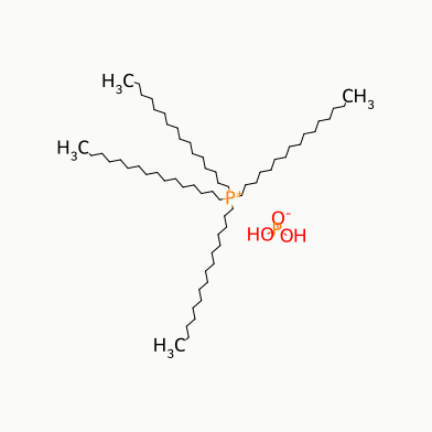 CCCCCCCCCCCCCCCC[P+](CCCCCCCCCCCCCCCC)(CCCCCCCCCCCCCCCC)CCCCCCCCCCCCCCCC.[O-]P(O)O